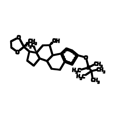 CC1(C2CCC3C4CCc5cc(O[Si](C)(C)C(C)(C)C)ccc5C4[C@H](O)C[C@@]32C)OCCO1